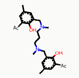 CC(=O)c1cc(C)cc(CN(C)CCCN(C)Cc2cc(C)cc(C(C)=O)c2O)c1O